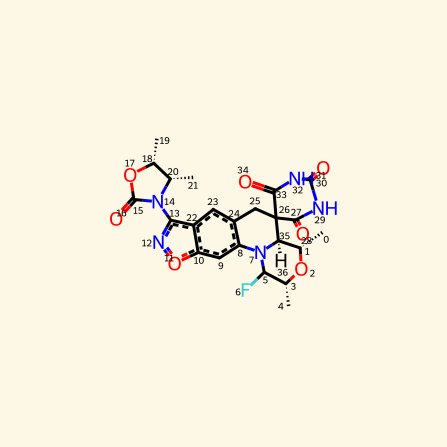 C[C@@H]1O[C@H](C)C(F)N2c3cc4onc(N5C(=O)O[C@H](C)[C@@H]5C)c4cc3CC3(C(=O)NC(=O)NC3=O)[C@@H]12